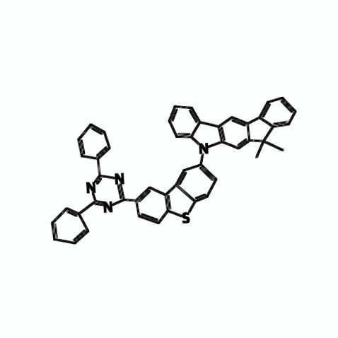 CC1(C)c2ccccc2-c2cc3c4ccccc4n(-c4ccc5sc6ccc(-c7nc(-c8ccccc8)nc(-c8ccccc8)n7)cc6c5c4)c3cc21